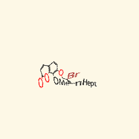 CCCCCCCC=C(Br)COc1ccc2ccc(=O)oc2c1OC